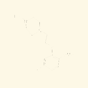 COc1ccc(C)cc1OCCN1CCN(C)CC1